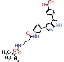 CC(C)(C)OC(=O)NCCCC(=O)Nc1cccc(-c2cnc3[nH]cc(-c4ccc(C(=O)O)cc4)c3c2)c1